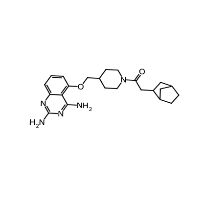 Nc1nc(N)c2c(OCC3CCN(C(=O)CC4CC5CCC4C5)CC3)cccc2n1